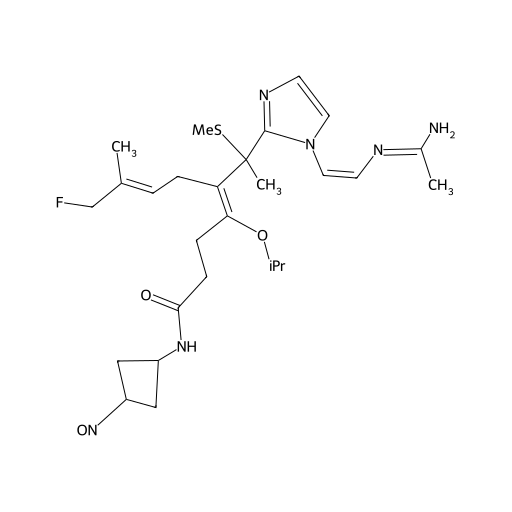 CSC(C)(/C(C/C=C(\C)CF)=C(/CCC(=O)NC1CC(N=O)C1)OC(C)C)c1nccn1/C=C\N=C(/C)N